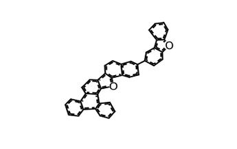 c1ccc2c(c1)oc1ccc(-c3ccc4c(ccc5c6ccc7c8ccccc8c8ccccc8c7c6oc45)c3)cc12